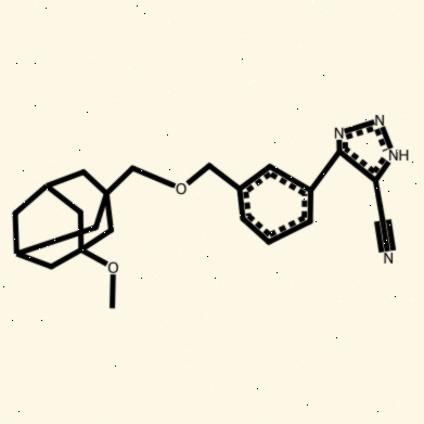 COC12CC3CC(CC(COCc4cccc(-c5nn[nH]c5C#N)c4)(C3)C1)C2